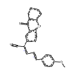 COc1ccc(/C=C/C=C(/C#N)c2ccc3oc4ccccc4c(=O)c3c2)cc1